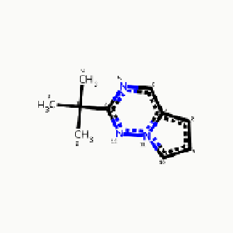 CC(C)(C)c1ncc2cccn2n1